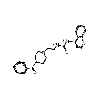 O=C(NCCN1CCC(C(=O)c2ccccc2)CC1)Nc1ccnc2ccccc12